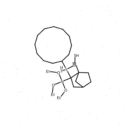 CCO[Si](OCC)(OCC)C1(S(S)(SS)C2CCCCCCCCCCC2)CC2CCC1(CC)C2